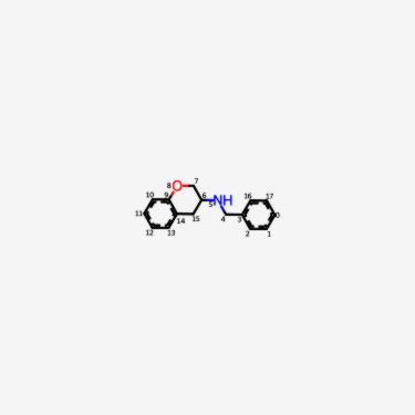 c1ccc(CNC2COc3ccccc3C2)cc1